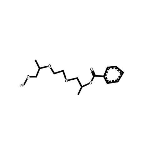 CC(C)OCC(C)OCCOCC(C)OC(=O)c1ccccc1